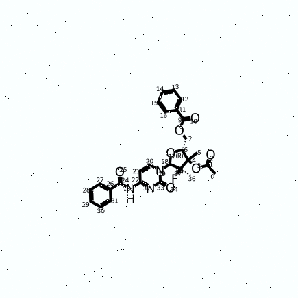 CC(=O)OC1(C)[C@@H](COC(=O)c2ccccc2)OC(n2ccc(NC(=O)c3ccccc3)nc2=O)[C@]1(C)F